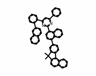 CC1(C)c2cc(-c3ccc(-c4nc(-c5ccccc5)cc(-c5ccccc5-c5ccc6ccccc6c5)n4)c4ccccc34)ccc2-c2c1ccc1ccccc21